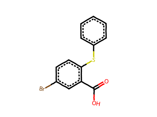 O=C(O)c1cc(Br)ccc1Sc1ccccc1